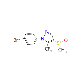 C[S+]([O-])c1cnn(-c2ccc(Br)cc2)c1C(F)(F)F